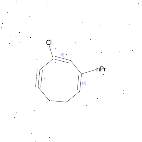 CCCC1=C/CCC#C/C(Cl)=C\1